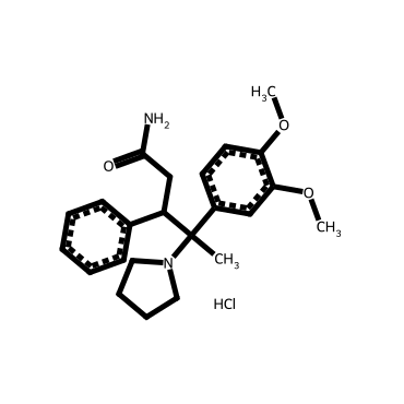 COc1ccc(C(C)(C(CC(N)=O)c2ccccc2)N2CCCC2)cc1OC.Cl